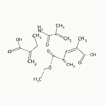 C=C(C)C(N)=O.C=C(C=C(C)C(=O)O)C(=O)OCC.C=C(CC)C(=O)O